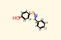 Oc1ccc(/P=N\Cc2ccccc2)cc1